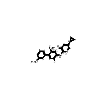 COc1cccc(-c2cc(F)c(Nc3ncc(C4CC4)cc3C(=O)O)cc2F)c1